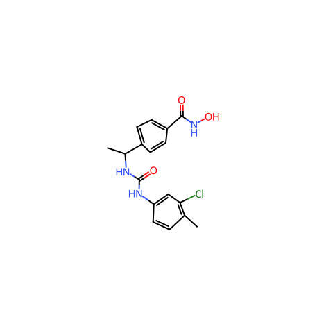 Cc1ccc(NC(=O)NC(C)c2ccc(C(=O)NO)cc2)cc1Cl